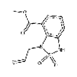 COC(=O)c1cccc2c1N(CC=O)S(=O)(=O)N2